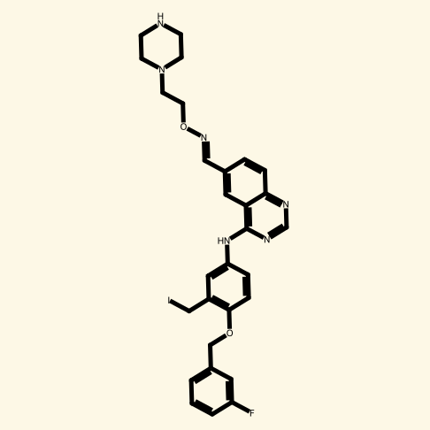 Fc1cccc(COc2ccc(Nc3ncnc4ccc(/C=N/OCCN5CCNCC5)cc34)cc2CI)c1